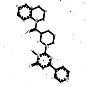 Cn1c(N2CCCC(C(=O)N3CCCc4ccccc43)C2)nc(-c2ccncc2)cc1=O